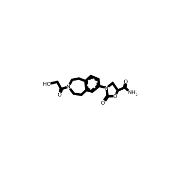 NC(=O)C1CN(c2ccc3c(c2)CCN(C(=O)CO)CC3)C(=O)O1